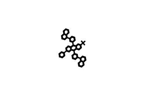 CC(C)(C)c1ccc2c(-c3cccc(-c4cccc5ccccc45)c3)c3cc(-c4ccccc4)ccc3c(-c3cccc(-c4cccc5ccccc45)c3)c2c1